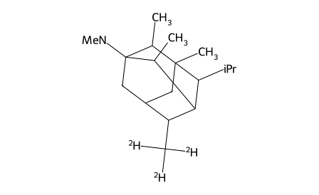 [2H]C([2H])([2H])C1C2CC3(C)C(C(C)C)C1C(C)C(NC)(C2)C3C